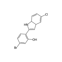 Oc1cc(Br)ccc1C1=CC2C=C(Cl)C=CC2N1